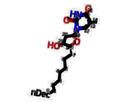 CCCCCCCCCCCCCCCCC[C@H]1O[C@@H](n2cc(C)c(=O)[nH]c2=O)CC1O